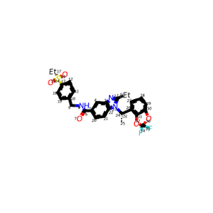 CCc1nc2cc(C(=O)NCc3ccc(S(=O)(=O)CC)cc3)ccc2n1[C@@H](C)c1cccc2c1OC(F)(F)O2